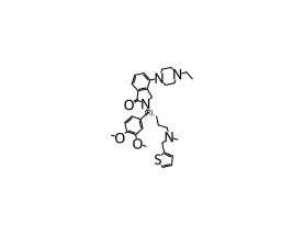 CCN1CCN(c2cccc3c2CN([C@H](CCCN(C)Cc2cccs2)c2ccc(OC)c(OC)c2)C3=O)CC1